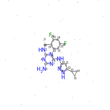 C[C@@H](Nc1nc(N)nc(Nc2cc(C3CC3)[nH]n2)n1)c1ccc(F)cc1F